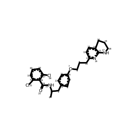 CC(Cc1ccc(OCCCc2ccc3c(n2)NCCC3)cc1)NC(=O)c1c(Cl)cccc1Cl